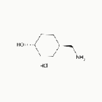 Cl.NC[C@H]1CC[C@H](O)CC1